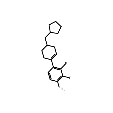 Cc1ccc(C2=CCC(CC3CCCC3)CC2)c(F)c1F